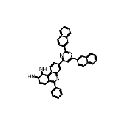 N=C1C=Cc2c(-c3ccccc3)nc3cc(-c4cc(-c5ccc6ccccc6c5)nc(-c5ccc6ccccc6c5)n4)ccc3c2C1=N